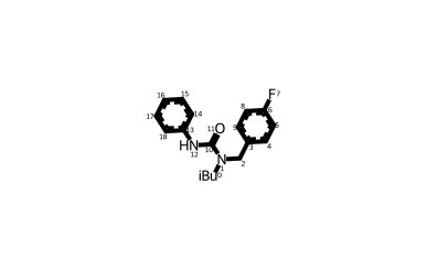 CCC(C)N(Cc1ccc(F)cc1)C(=O)Nc1ccccc1